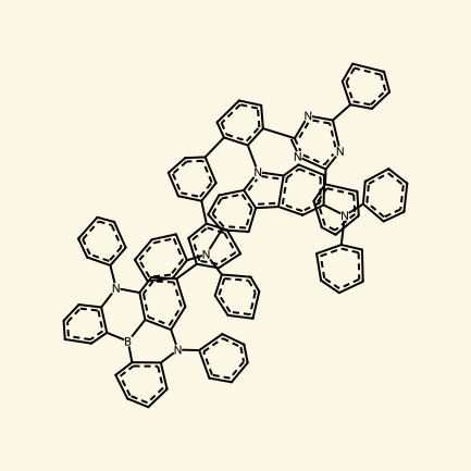 c1ccc(-c2nc(-c3ccccc3)nc(-c3cccc(-c4cccc(-c5cccc(-c6cc7c8c(c6)N(c6ccccc6)c6ccccc6B8c6ccccc6N7c6ccccc6)c5)c4)c3-n3c4ccc(N(c5ccccc5)c5ccccc5)cc4c4cc(N(c5ccccc5)c5ccccc5)ccc43)n2)cc1